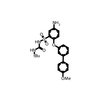 COc1ccc(-c2cccc(Oc3ccc(N)cc3S(=O)(=O)NC(=O)NC(C)(C)C)c2)cc1